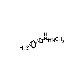 CNCCNC1CN(C2CCN(C)CC2)C1